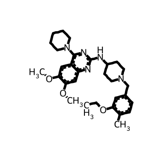 CCOc1cc(CN2CCC(Nc3nc(N4CCCCC4)c4cc(OC)c(OC)cc4n3)CC2)ccc1C